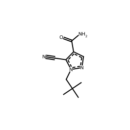 CC(C)(C)Cn1ncc(C(N)=O)c1C#N